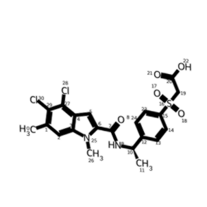 Cc1cc2c(cc(C(=O)N[C@H](C)c3ccc(S(=O)(=O)CC(=O)O)cc3)n2C)c(Cl)c1Cl